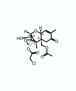 CC(=O)OC[C@]12CC(=O)C(C)=C[C@H]1O[C@@H]1[C@H](O)[C@@H](OC(=O)CCl)[C@@]2(C)[C@]12CO2